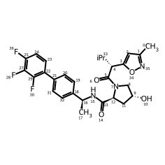 Cc1cc([C@H](C(=O)N2C[C@H](O)C[C@H]2C(=O)N[C@@H](C)c2ccc(-c3ccc(F)c(F)c3F)cc2)C(C)C)on1